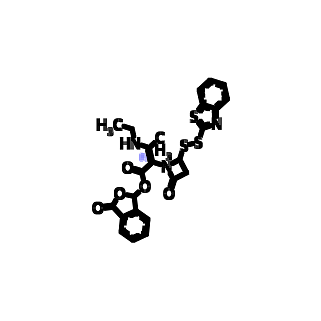 CCN/C(C)=C(\C(=O)OC1OC(=O)c2ccccc21)N1C(=O)CC1SSc1nc2ccccc2s1